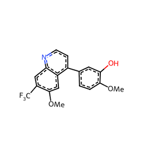 COc1ccc(-c2ccnc3cc(C(F)(F)F)c(OC)cc23)cc1O